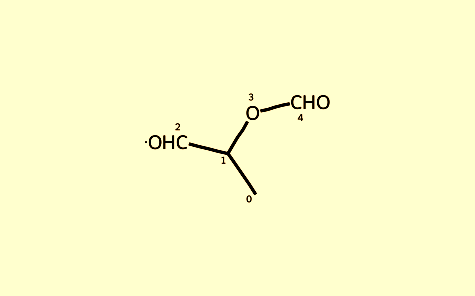 CC([C]=O)OC=O